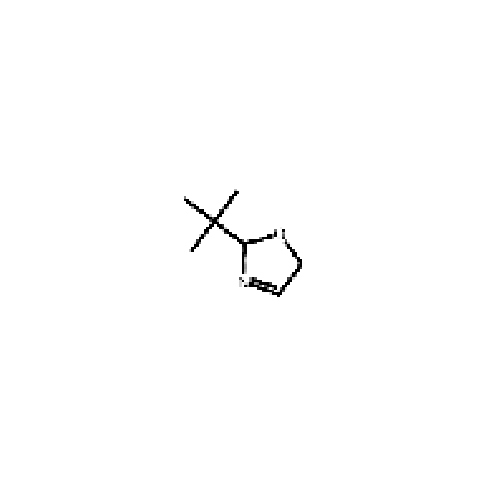 CC(C)(C)C1N=CCO1